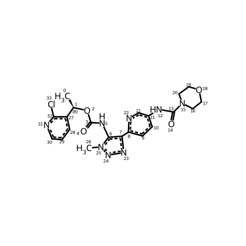 C[C@@H](OC(=O)Nc1c(-c2ccc(NC(=O)N3CCOCC3)cn2)nnn1C)c1cccnc1Cl